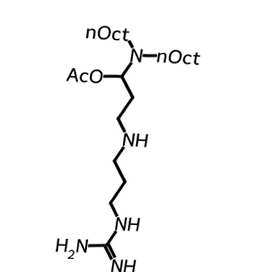 CCCCCCCCN(CCCCCCCC)C(CCNCCCNC(=N)N)OC(C)=O